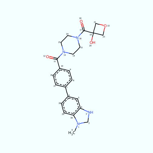 CN1CNc2cc(-c3ccc(C(=O)N4CCN(C(=O)C5(O)COC5)CC4)cc3)ccc21